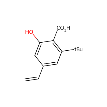 C=Cc1cc(O)c(C(=O)O)c(C(C)(C)C)c1